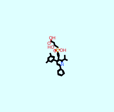 Cc1cc(C)cc(-c2cc(-c3ccccc3)nc(C(C)C)c2C#CP(=O)(O)C[C@@H](O)CC(=O)O)c1